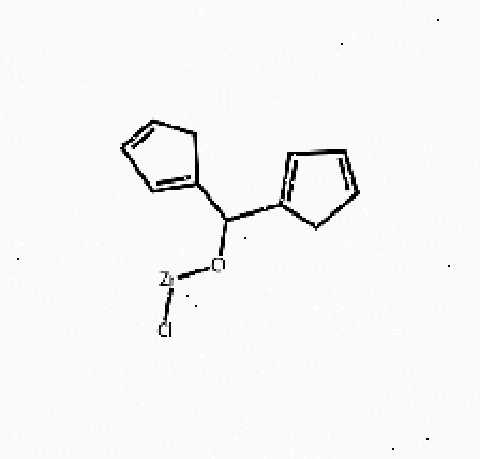 [Cl][Zr][O]C(C1=CC=CC1)C1=CC=CC1